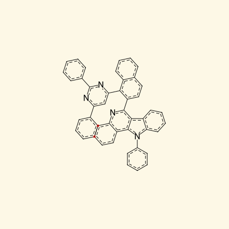 c1ccc(-c2cc(-c3c(-c4nc5ccccc5c5c4c4ccccc4n5-c4ccccc4)ccc4ccccc34)nc(-c3ccccc3)n2)cc1